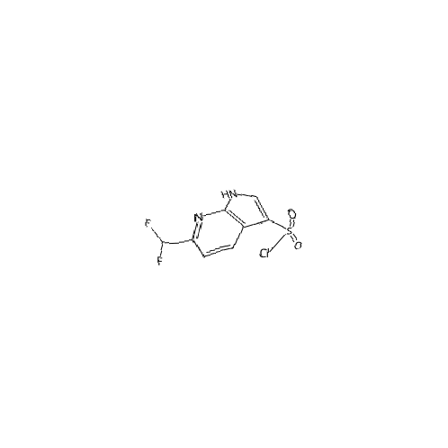 O=S(=O)(Cl)c1c[nH]c2nc(C(F)F)ccc12